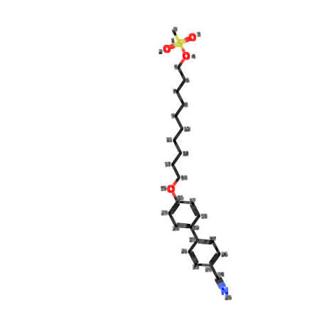 CS(=O)(=O)OCCCCCCCCCCOc1ccc(-c2ccc(C#N)cc2)cc1